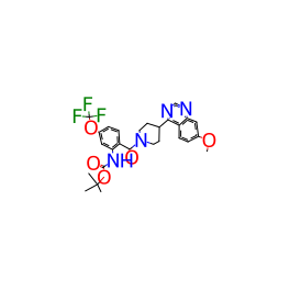 COc1ccc2c(C3CCN(C(=O)c4ccc(OC(F)(F)F)cc4NC(=O)OC(C)(C)C)CC3)ncnc2c1